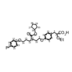 CCOC(Cc1ccc(OCCN(CCCOc2ccc(F)cc2)C(=O)OC2CCCC2)cc1)C(=O)O